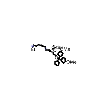 CC/C=C\C[C@H](C)C#C/C=C/C#C[C@H](CCOC(c1ccccc1)(c1ccc(OC)cc1)c1ccc(OC)cc1)O[Si](C)(C)C(C)(C)C